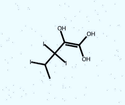 CC(I)C(I)(I)C(O)=C(O)O